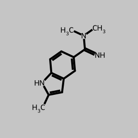 Cc1cc2cc(C(=N)N(C)C)ccc2[nH]1